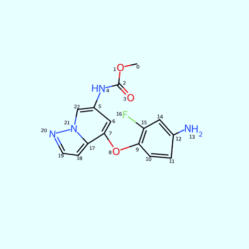 COC(=O)Nc1cc(Oc2ccc(N)cc2F)c2ccnn2c1